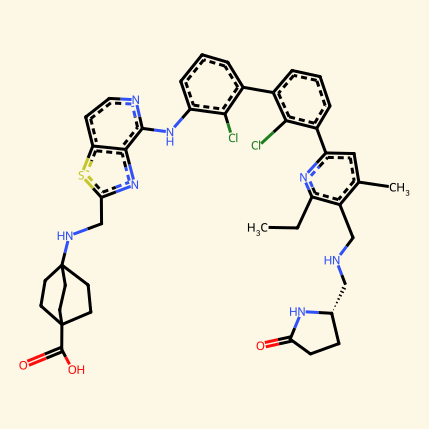 CCc1nc(-c2cccc(-c3cccc(Nc4nccc5sc(CNC67CCC(C(=O)O)(CC6)CC7)nc45)c3Cl)c2Cl)cc(C)c1CNC[C@@H]1CCC(=O)N1